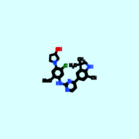 COc1cc(N2CCC(O)C2)c(Cl)cc1Nc1nccc(-c2cc(C#N)c3c(c2)C(C)(C)CN3)n1